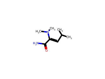 CC(C)/C=C(/C(N)=O)N(C)C